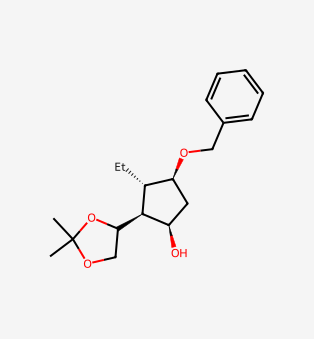 CC[C@H]1[C@H](C2COC(C)(C)O2)[C@H](O)C[C@@H]1OCc1ccccc1